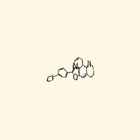 Clc1ccc(-c2ccc(/C=C3/CCCN=C3c3cccnc3)o2)cc1